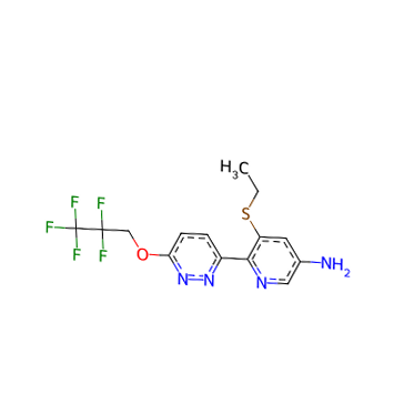 CCSc1cc(N)cnc1-c1ccc(OCC(F)(F)C(F)(F)F)nn1